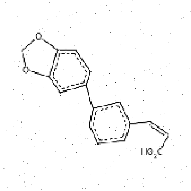 O=C(O)/C=C\c1cccc(-c2ccc3c(c2)OCO3)c1